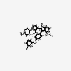 [2H]N1CCC(n2ncc(-c3c(-c4ccc(Oc5cccc(C)n5)cc4)c4c(N)ncnc4n3C)c2C)CC1